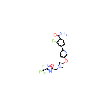 NC(=O)c1ccc(-c2ccc(OC3CN(Cc4nc(C(F)(F)F)no4)C3)cn2)cc1F